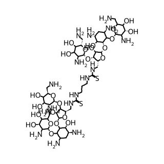 NCC1O[C@H](OC2C(N)C[C@@H](N)C(O)[C@H]2O[C@@H]2O[C@H](CNC(=S)NCCCNC(=S)NC[C@H]3O[C@@H](OC4C(O[C@@H]5OC(CN)C(O)[C@H](O)C5N)C(N)C[C@H](N)[C@@H]4O)C(O)C3O[C@@H]3O[C@H](CN)C(O)C(O)C3N)[C@H](O[C@H]3O[C@@H](CN)C(O)C(O)C3N)C2O)C(N)[C@@H](O)C1O